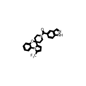 O=C(c1ccc2[nH]ncc2c1)N1CCC2(CC1)Oc1ccccc1-n1c(C(F)(F)F)ccc12